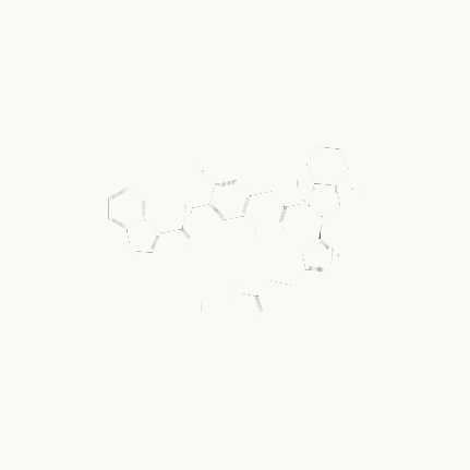 COC(=O)CCc1cnc([C@@H]2C[C@@H]3CCCC[C@@H]3N2C(=O)Cc2cc(Cl)c(NC(=O)c3csc4ccccc34)cc2F)s1